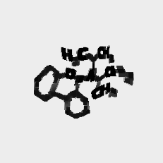 CC(C)N(C(C)C)P1Oc2ccccc2-c2ccccc21